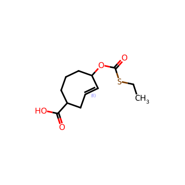 CCSC(=O)OC1/C=C/CC(C(=O)O)CCC1